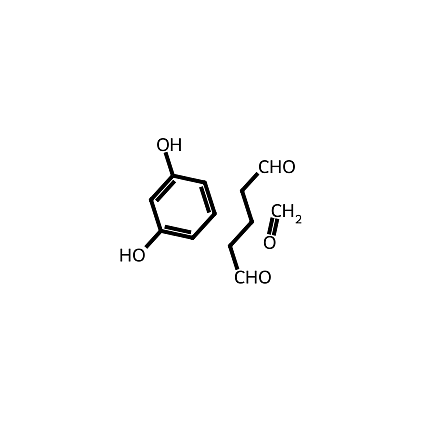 C=O.O=CCCCC=O.Oc1cccc(O)c1